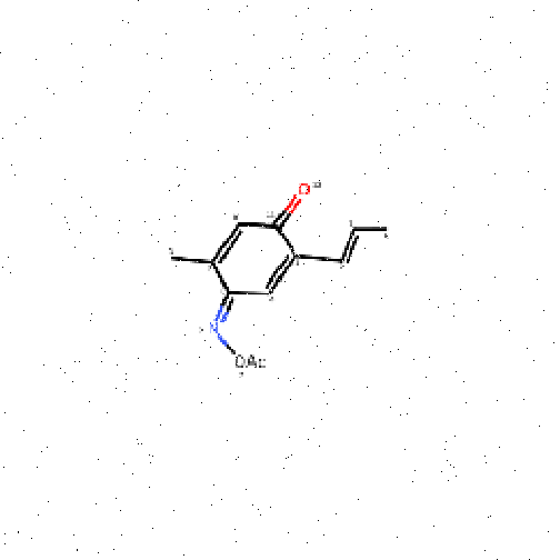 C/C=C/C1=CC(=N\OC(C)=O)/C(C)=CC1=O